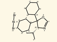 CC(C)[C@H]1N=COC1(C1CCCCC1)C1CCCCC1.[Br][Ni][Br]